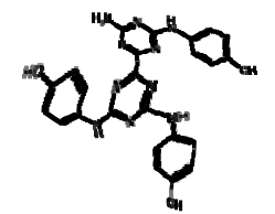 Nc1nc(Nc2ccc(O)cc2)nc(-c2nc(Nc3ccc(O)cc3)nc(Nc3ccc(O)cc3)n2)n1